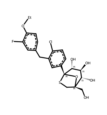 CCOc1ccc(Cc2cc([C@@]34O[C@@](CO)(CS3)[C@@H](O)[C@H](O)[C@H]4O)ccc2Cl)cc1F